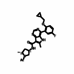 CC(=O)N1C[C@H](NC(=O)c2c(C)[nH]c3c(-c4cc(F)ccc4OCC4CC4)ncnc23)C[C@H]1C